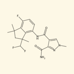 Cn1cc(C(=O)Nc2ccc(F)c3c2C(C)(C(F)F)CC3(C)C)c(C(N)=O)n1